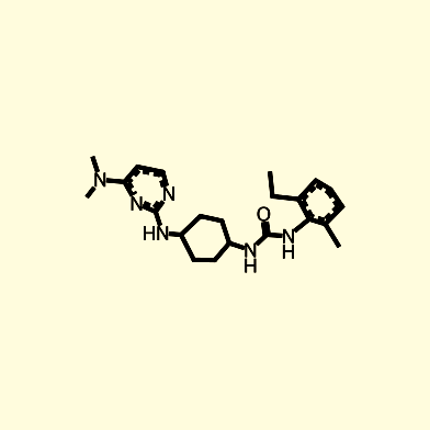 CCc1cccc(C)c1NC(=O)NC1CCC(Nc2nccc(N(C)C)n2)CC1